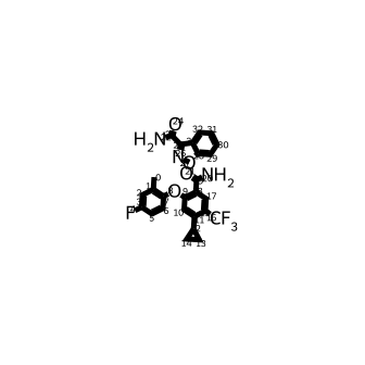 Cc1cc(F)ccc1Oc1cc(C2CC2)c(C(F)(F)F)cc1C(N)=O.NC(=O)c1noc2ccccc12